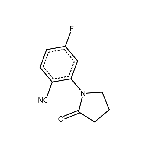 N#Cc1ccc(F)cc1N1CCCC1=O